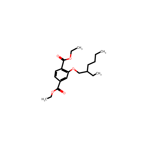 CCCCC(CC)COc1cc(C(=O)OCC)ccc1C(=O)OCC